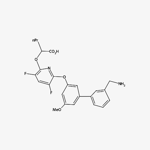 CCCC(Oc1nc(Oc2cc(OC)cc(-c3cccc(CN)c3)c2)c(F)cc1F)C(=O)O